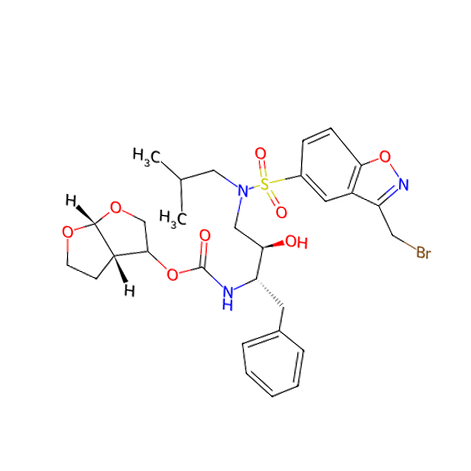 CC(C)CN(C[C@@H](O)[C@H](Cc1ccccc1)NC(=O)OC1CO[C@H]2OCC[C@@H]12)S(=O)(=O)c1ccc2onc(CBr)c2c1